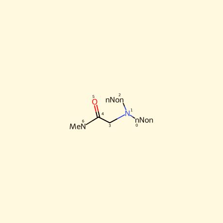 CCCCCCCCCN(CCCCCCCCC)CC(=O)NC